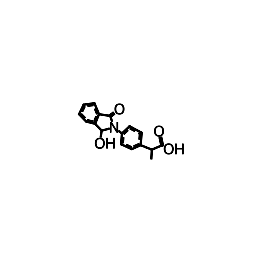 CC(C(=O)O)c1ccc(N2C(=O)c3ccccc3C2O)cc1